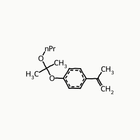 C=C(C)c1ccc(OC(C)(C)OCCC)cc1